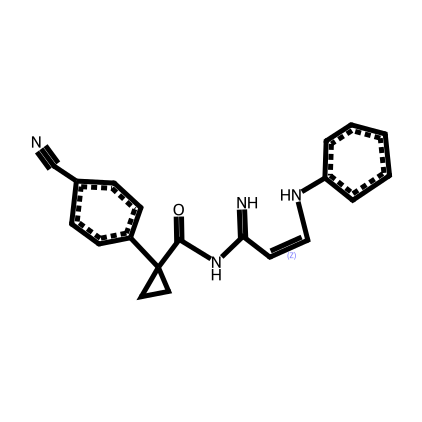 N#Cc1ccc(C2(C(=O)NC(=N)/C=C\Nc3ccccc3)CC2)cc1